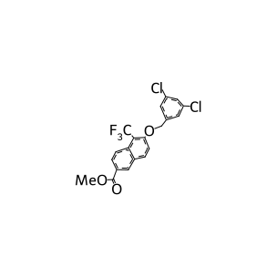 COC(=O)c1ccc2c(C(F)(F)F)c(OCc3cc(Cl)cc(Cl)c3)ccc2c1